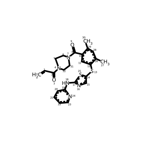 C=CC(=O)N1CCN(C(=O)c2cc(Sc3cnc(Nc4ccccn4)s3)c(C)cc2C)CC1